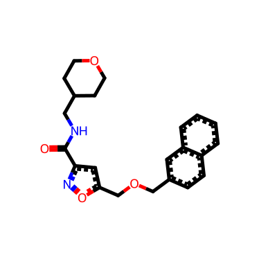 O=C(NCC1CCOCC1)c1cc(COCc2ccc3ccccc3c2)on1